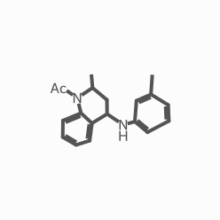 CC(=O)N1c2ccccc2C(Nc2cccc(C)c2)CC1C